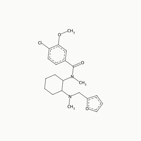 COc1cc(C(=O)N(C)C2CCCCC2N(C)Cc2ccco2)ccc1Cl